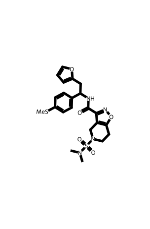 CSc1ccc(C(Cc2ccco2)NC(=O)c2noc3c2CN(S(=O)(=O)N(C)C)CC3)cc1